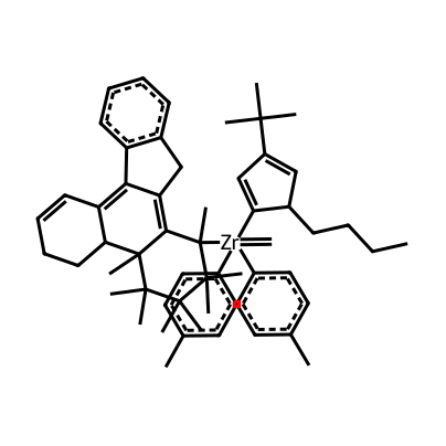 [CH2]=[Zr]([C]1=CC(C(C)(C)C)=CC1CCCC)([c]1ccc(C)cc1)([c]1ccc(C)cc1)[C]1(C)C2=C3Cc4ccccc4C3=C3C=CCCC3C2(C)C(C)(C)C(C)(C)C1(C)C